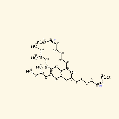 CCCCCCCC/C=C\CCCCC(CCCOCC(O)CO)OC(CCCC/C=C\CCCCCCCC)CCCOCC(O)CO